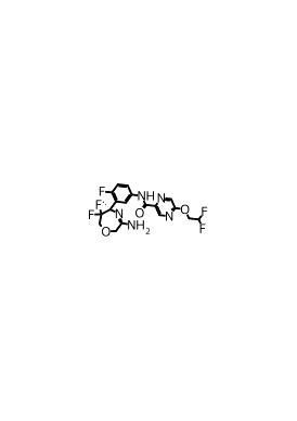 C[C@]1(c2cc(NC(=O)c3cnc(OCC(F)F)cn3)ccc2F)N=C(N)COCC1(F)F